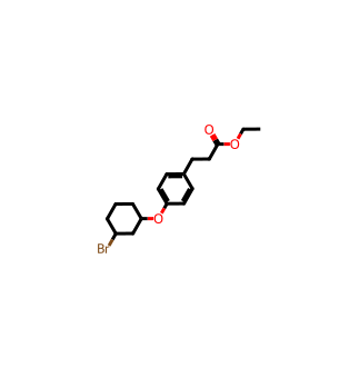 CCOC(=O)CCc1ccc(OC2CCCC(Br)C2)cc1